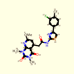 COc1cc(CC(=O)Nc2nc(-c3ccc(C(F)(F)F)c(F)c3)cs2)c2c(=O)n(C)c(=O)n(C)c2n1